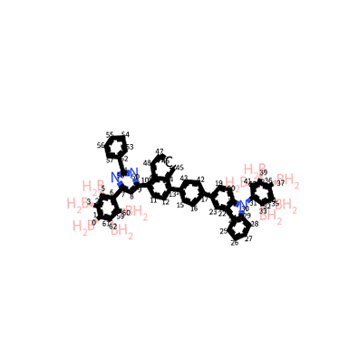 Bc1c(B)c(B)c(-c2cc(-c3ccc(-c4ccc(-c5ccc6c(c5)c5ccccc5n6-c5c(B)c(B)c(B)c(B)c5B)cc4)c4ccccc34)nc(-c3ccccc3)n2)c(B)c1B